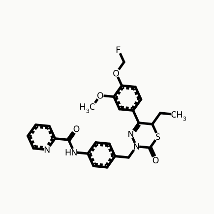 CCC1SC(=O)N(Cc2ccc(NC(=O)c3ccccn3)cc2)N=C1c1ccc(OCF)c(OC)c1